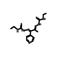 CCNC(=S)N/N=C(C)/C(=N/NC(=S)NCC)c1ccncc1